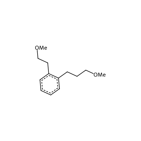 COCCCc1ccccc1CCOC